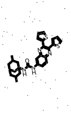 CC1CC2CC(C)CC(NC(=O)Nc3ccc4nc(-c5cccs5)c(-c5cccs5)nc4c3)(C1)C2